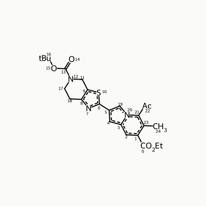 CCOC(=O)c1cc2cc(-c3nc4c(s3)CN(C(=O)OC(C)(C)C)CC4)cn2c(C(C)=O)c1C